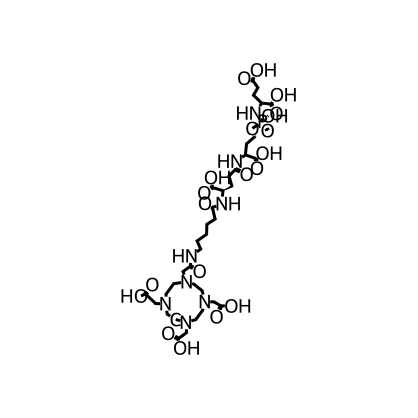 O=C(O)CCC(NP(=O)(O)OCCC(NC(=O)CC[C@@H](NC(=O)CCCCCNC(=O)CN1CCN(CC(=O)O)CCN(CC(=O)O)CCN(CC(=O)O)CC1)C(=O)O)C(=O)O)C(=O)O